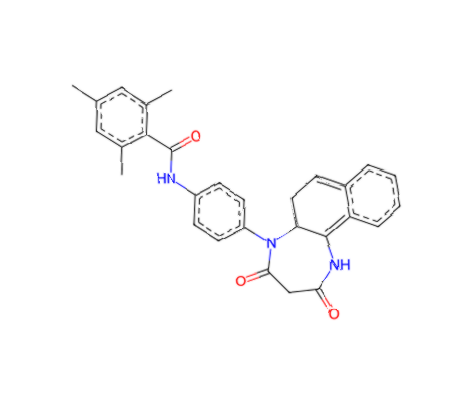 Cc1cc(C)c(C(=O)Nc2ccc(N3C(=O)CC(=O)NC4=c5ccccc5=CCC43)cc2)c(C)c1